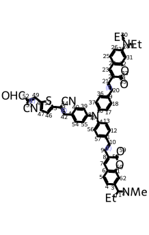 CCC(NC)c1ccc2cc(/C=C/c3ccc(N(c4ccc(/C=C/c5cc6ccc(N(CC)CC)cc6oc5=O)cc4)c4ccc(/C=C(\C#N)c5ccc(/C=C(\C#N)C=O)s5)cc4)cc3)c(=O)oc2c1